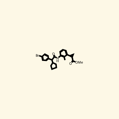 COC(=O)C1CC1c1cccc(NC(=O)C(c2ccc(Br)cc2)C2CCCC2)c1C